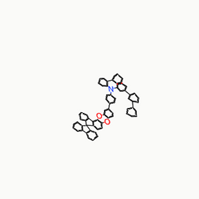 c1ccc(-c2cccc(-c3cccc(N(c4ccc(-c5ccc6c(c5)Oc5c(ccc7c5-c5ccccc5C75c7ccccc7-c7ccccc75)O6)cc4)c4ccccc4-c4ccccc4)c3)c2)cc1